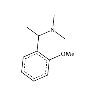 COc1ccccc1C(C)N(C)C